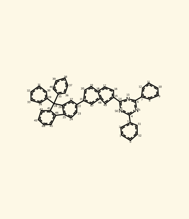 c1ccc(-c2nc(-c3ccccc3)nc(-c3ccc4ccc(-c5ccc6c(c5)C(c5ccccc5)(c5ccccc5)c5ccccc5-6)cc4c3)n2)cc1